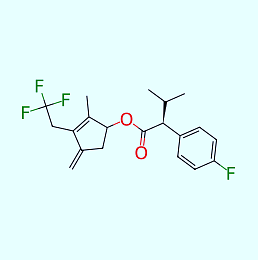 C=C1CC(OC(=O)[C@H](c2ccc(F)cc2)C(C)C)C(C)=C1CC(F)(F)F